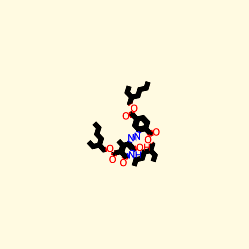 CCCCC(CC)COC(=O)c1ccc(C(=O)OCC(CC)CCCC)c(/N=N/c2c(O)[nH]c(=O)c(C(=O)OCC(CC)CCCC)c2C)c1